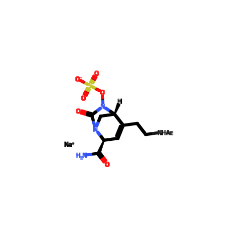 CC(=O)NCCC1=C[C@@H](C(N)=O)N2C[C@@H]1N(OS(=O)(=O)[O-])C2=O.[Na+]